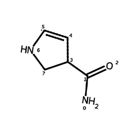 NC(=O)C1C=[C]NC1